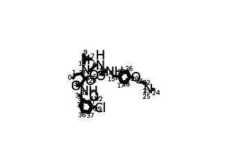 CCC(NC(=O)[C@H](CC(C)C)NC(=O)NCc1ccc(OCCN(C)C)cc1)C(=O)C(=O)NCc1cccc(Cl)c1OC